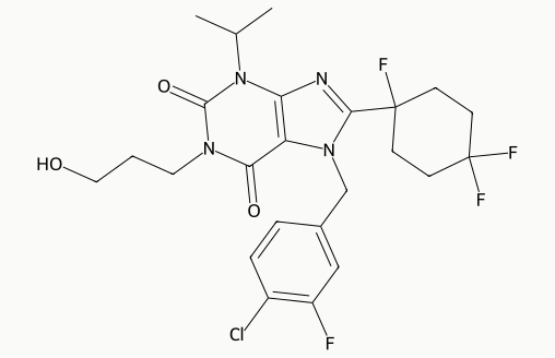 CC(C)n1c(=O)n(CCCO)c(=O)c2c1nc(C1(F)CCC(F)(F)CC1)n2Cc1ccc(Cl)c(F)c1